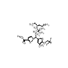 CC(C)(C)N.CCCCCN.Cc1cc(C(C)N2C=CC(C(=O)O)=NC2)cnc1OCC(F)(F)F